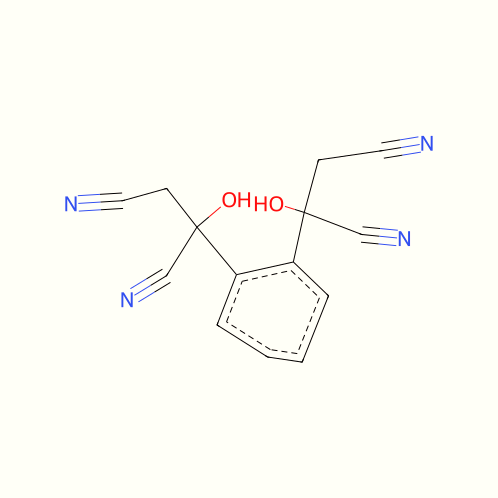 N#CCC(O)(C#N)c1ccccc1C(O)(C#N)CC#N